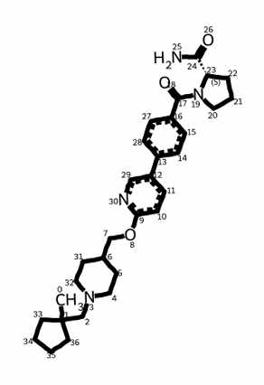 CC1(CN2CCC(COc3ccc(-c4ccc(C(=O)N5CCC[C@H]5C(N)=O)cc4)cn3)CC2)CCCC1